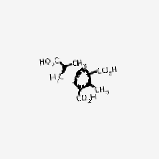 C=C(C)C(=O)O.Cc1c(C(=O)O)cccc1C(=O)O